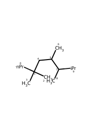 CC[CH]C(C)(C)CC(C)C(C)C(C)C